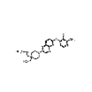 Nc1nccc(Sc2ccc3nc(N4CCC(CO)(CNC(=O)O)CC4)cnc3n2)c1Cl